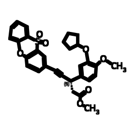 COC(=O)C[C@H](C#Cc1ccc2c(c1)S(=O)(=O)c1ccccc1O2)c1ccc(OC)c(OC2CCCC2)c1